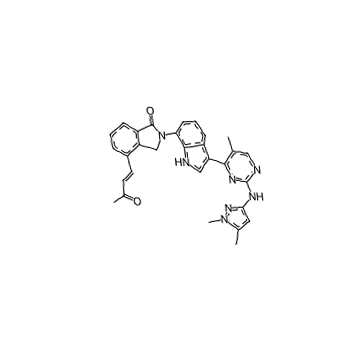 CC(=O)C=Cc1cccc2c1CN(c1cccc3c(-c4nc(Nc5cc(C)n(C)n5)ncc4C)c[nH]c13)C2=O